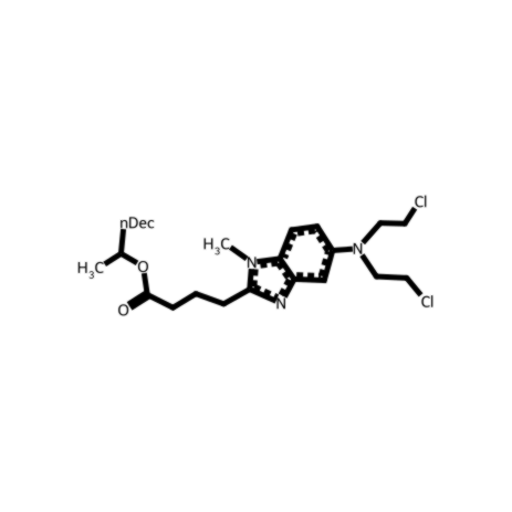 CCCCCCCCCCC(C)OC(=O)CCCc1nc2cc(N(CCCl)CCCl)ccc2n1C